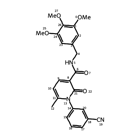 COc1cc(CNC(=O)c2ccc(C)n(-c3cccc(C#N)c3)c2=O)cc(OC)c1OC